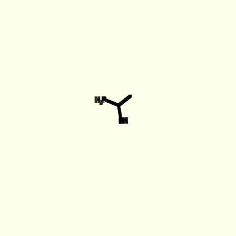 CC(P)S